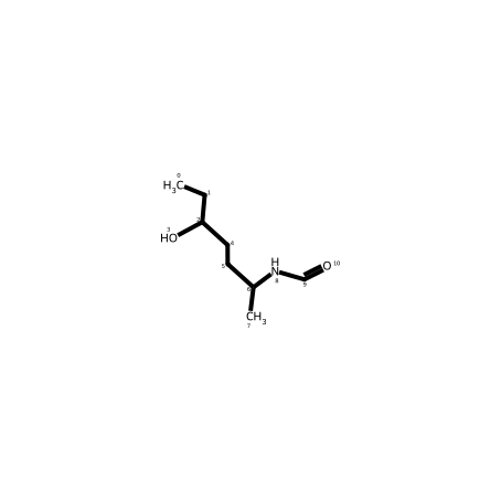 CCC(O)CCC(C)NC=O